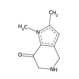 Cc1cc2c(n1C)C(=O)CNC2